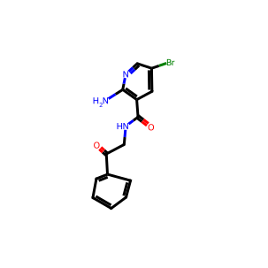 Nc1ncc(Br)cc1C(=O)NCC(=O)c1ccccc1